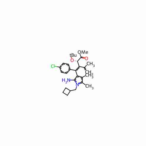 C=C(C)/C(=C(/c1ccc(Cl)cc1)c1c(C)c(C)n(CC2CCC2)c1N)[C@H](OC(C)(C)C)C(=O)OC